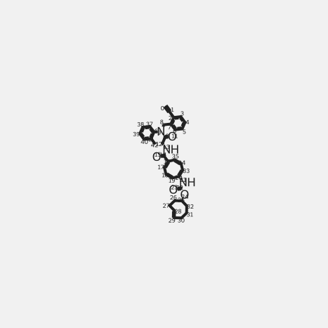 C#Cc1ccccc1CN(C(=O)CNC(=O)C1=C/C=C\C(NC(=O)O[C@@H]2CC/C=C/CCC2)=C/C=C\1)c1ccccc1C